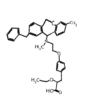 CCOC(Cc1ccc(OCCN(C)C2c3ccc(C)cc3CCc3ccc(Cc4ccccc4)cc32)cc1)C(=O)O